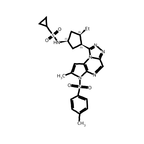 CC[C@@H]1C[C@H](NS(=O)(=O)C2CC2)C[C@@H]1c1nnc2cnc3c(cc(C)n3S(=O)(=O)c3ccc(C)cc3)n12